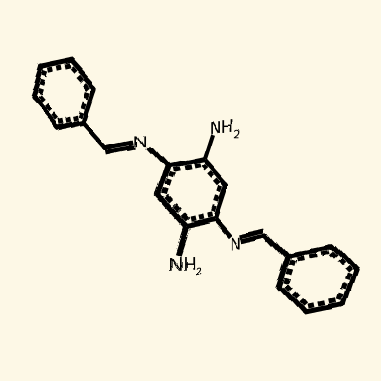 Nc1cc(N=Cc2ccccc2)c(N)cc1N=Cc1ccccc1